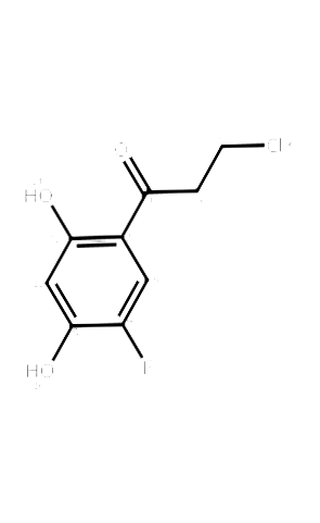 O=C(CCCl)c1cc(F)c(O)cc1O